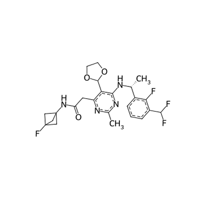 Cc1nc(CC(=O)NC23CC(F)(C2)C3)c(C2OCCO2)c(N[C@H](C)c2cccc(C(F)F)c2F)n1